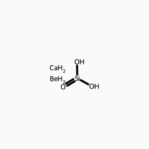 O=[Si](O)O.[BeH2].[CaH2]